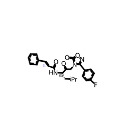 CC(C)C[C@H](NC(=O)/C=C/c1ccccc1)C(=O)Cn1c(-c2ccc(F)cc2)noc1=O